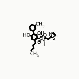 CCCCCc1cc(O)c(C2C=C(C)CCC2)c(O)c1S(=O)(=O)NC(=O)Cc1nccs1